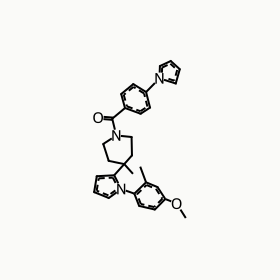 COc1ccc(-n2cccc2C2(C)CCN(C(=O)c3ccc(-n4cccc4)cc3)CC2)c(C)c1